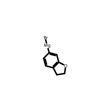 [Br][Mg][c]1ccc2c(c1)OCC2